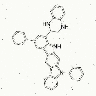 c1ccc(-c2cc(C3CNc4ccccc4N3)c3[nH]c4cc5c(cc4c3c2)c2ccccc2n5-c2ccccc2)cc1